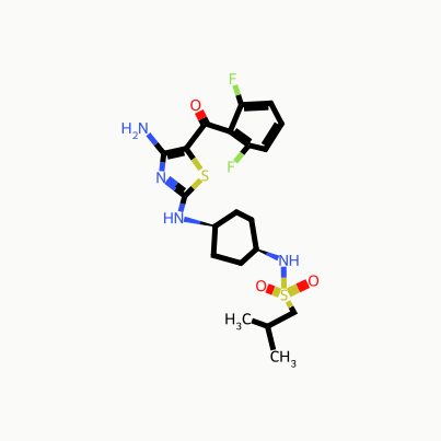 CC(C)CS(=O)(=O)N[C@H]1CC[C@@H](Nc2nc(N)c(C(=O)c3c(F)cccc3F)s2)CC1